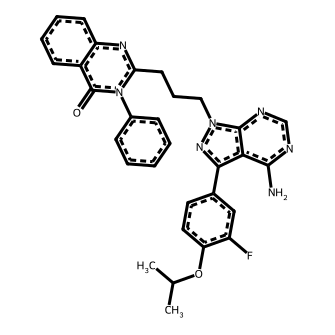 CC(C)Oc1ccc(-c2nn(CCCc3nc4ccccc4c(=O)n3-c3ccccc3)c3ncnc(N)c23)cc1F